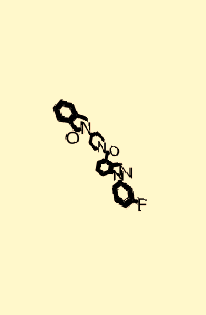 O=C(c1cccc2c1cnn2-c1cccc(F)c1)N1CCC(N2Cc3ccccc3C2=O)CC1